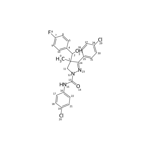 CC1(C(O)c2ccc(F)cc2)CN(C(=O)Nc2ccc(Cl)cc2)N=C1c1ccc(Cl)cc1